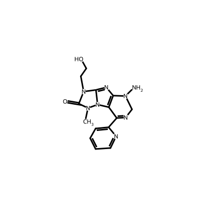 Cn1c(=O)n(CCO)c2nc3c(n21)C(c1ccccn1)=NCN3N